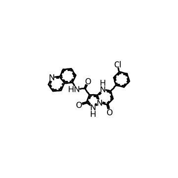 O=C(Nc1cccc2ncccc12)c1c(=O)[nH]n2c(=O)cc(-c3cccc(Cl)c3)[nH]c12